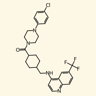 O=C(C1CCC(CNc2ccnc3ccc(C(F)(F)F)cc23)CC1)N1CCN(c2ccc(Cl)cc2)CC1